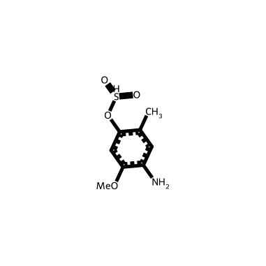 COc1cc(O[SH](=O)=O)c(C)cc1N